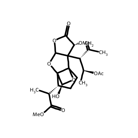 C=C(C)[C@H]([C@H](C)OC(C)=O)C12C(OC(=O)[C@@H]1OC)OC13[C@H](O)OC12CC[C@@H]3C(C)C(=O)OC